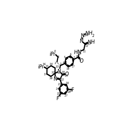 CC(C)CC[C@H](c1ccc(C(=O)NCC(=N)/N=N\N)cc1)N1C(=O)C(c2cc(F)cc(F)c2)=NC12CCC(C(C)C)CC2